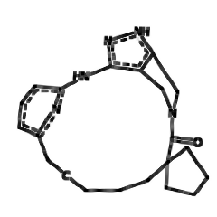 O=C1N2Cc3[nH]nc(c3C2)Nc2cccc(n2)CCCCCC12CCCC2